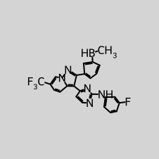 CBc1cccc(-c2nn3cc(C(F)(F)F)ccc3c2-c2ccnc(Nc3cccc(F)c3)n2)c1